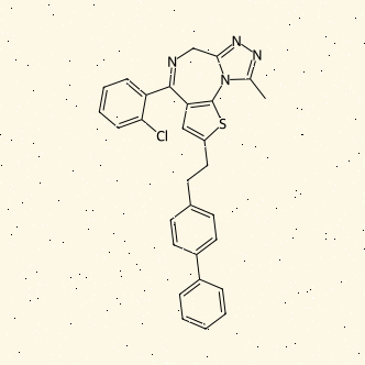 Cc1nnc2n1-c1sc(CCc3ccc(-c4ccccc4)cc3)cc1C(c1ccccc1Cl)=NC2